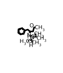 CC(=O)CC(Cc1ccccc1)=NN([SiH](C)C)[SiH](C)C